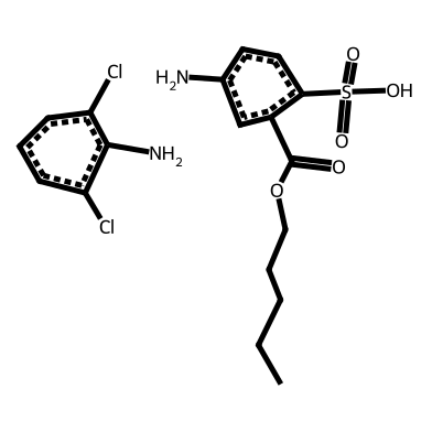 CCCCCOC(=O)c1cc(N)ccc1S(=O)(=O)O.Nc1c(Cl)cccc1Cl